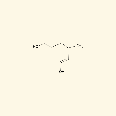 CC(C=CO)CCCO